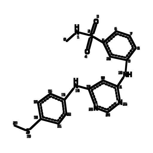 CNS(=O)(=O)c1cccc(Nc2cc(Nc3ccc(SC)cc3)ncn2)c1